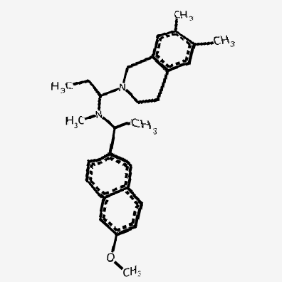 CCC(N1CCc2cc(C)c(C)cc2C1)N(C)C(C)c1ccc2cc(OC)ccc2c1